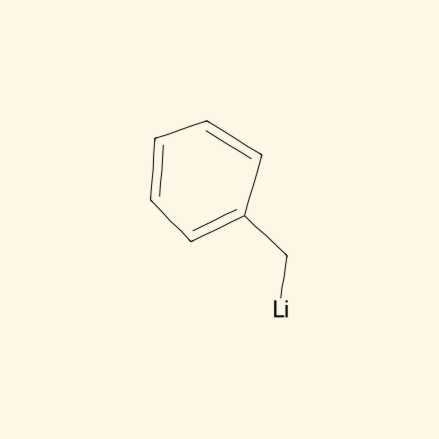 [Li][CH2]c1ccccc1